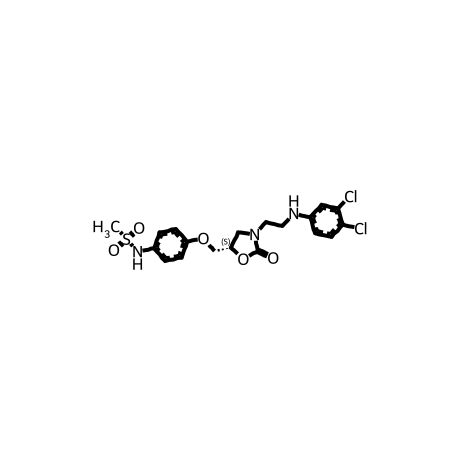 CS(=O)(=O)Nc1ccc(OC[C@@H]2CN(CCNc3ccc(Cl)c(Cl)c3)C(=O)O2)cc1